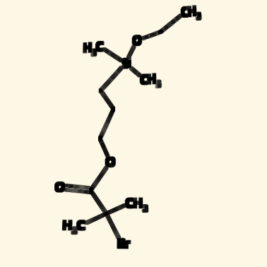 CCO[Si](C)(C)CCCOC(=O)C(C)(C)Br